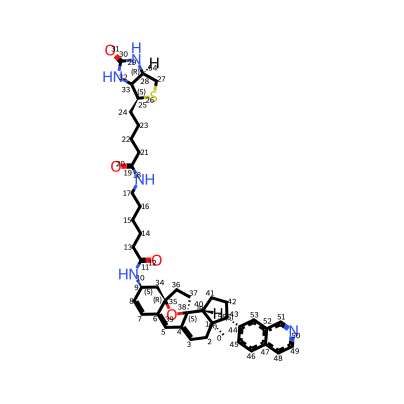 C[C@]12CC=C3C=C4C=C[C@@H](NC(=O)CCCCCNC(=O)CCCC[C@@H]5SC[C@@H]6NC(=O)NC65)C[C@]45CC[C@]3(O5)[C@@H]1CC[C@@H]2c1ccc2ccncc2c1